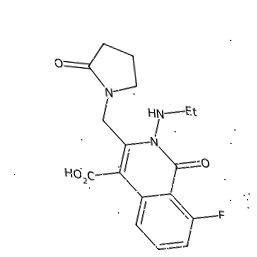 CCNn1c(CN2CCCC2=O)c(C(=O)O)c2cccc(F)c2c1=O